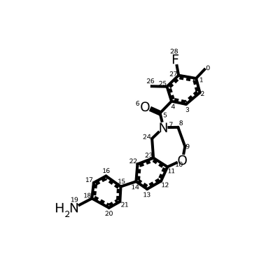 Cc1ccc(C(=O)N2CCOc3ccc(-c4ccc(N)cc4)cc3C2)c(C)c1F